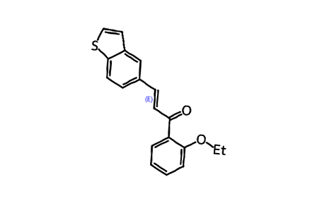 CCOc1ccccc1C(=O)/C=C/c1ccc2sccc2c1